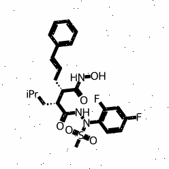 CC(C)C[C@@H](C(=O)NN(c1ccc(F)cc1F)S(C)(=O)=O)[C@H](CC=Cc1ccccc1)C(=O)NO